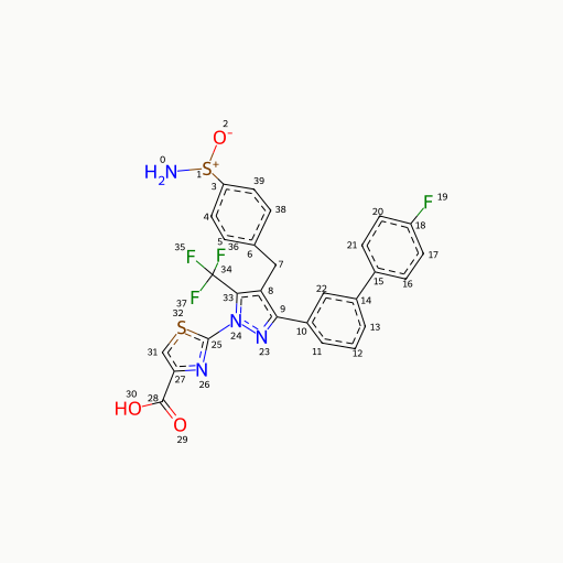 N[S+]([O-])c1ccc(Cc2c(-c3cccc(-c4ccc(F)cc4)c3)nn(-c3nc(C(=O)O)cs3)c2C(F)(F)F)cc1